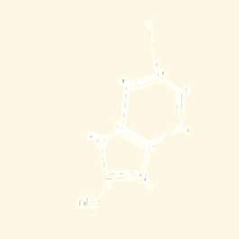 CCCCc1nc2ccc(I)cc2o1